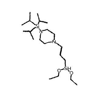 CCO[SiH](CCCN1CCN([Si](C(C)C)(C(C)C)C(C)C)CC1)OCC